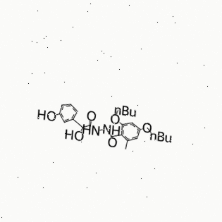 CCCCOc1cc(C)c(C(=O)NNC(=O)C(O)c2cccc(O)c2)c(OCCCC)c1